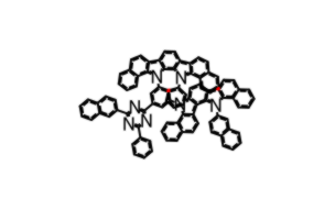 c1ccc(-c2nc(-c3cc(-n4c5ccc6c7ccc8ccccc8c7n(-c7ccc8ccccc8c7)c6c5c5ccc6ccccc6c54)cc(-n4c5c6ccccc6ccc5c5ccc6c7ccc8ccccc8c7n(-c7ccccc7)c6c54)c3)nc(-c3ccc4ccccc4c3)n2)cc1